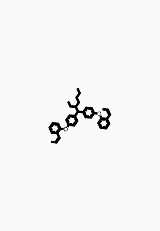 C/C=C\c1ccccc1Oc1ccc(C(c2ccc(Oc3ccccc3/C=C\C)cc2)C(CC)CCCC)cc1